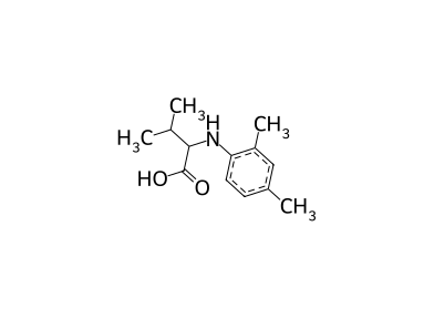 Cc1ccc(NC(C(=O)O)C(C)C)c(C)c1